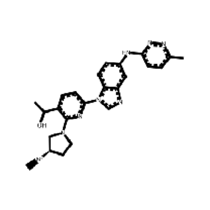 C#[N+][C@@H]1CCN(c2nc(-n3cnc4cc(Nc5ccc(C)nn5)ccc43)ccc2C(C)O)C1